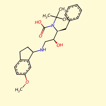 COc1ccc2c(c1)C(NC[C@H](O)[C@H](Cc1ccccc1)N(C(=O)O)C(C)(C)C)CC2